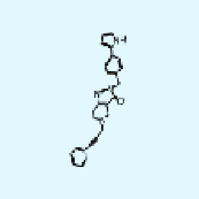 O=c1c2c(ncn1Cc1ccc(-c3ccc[nH]3)cc1)CCN(CC#Cc1ccccc1)C2